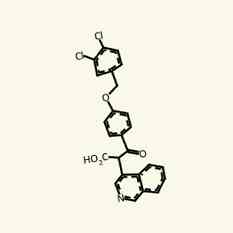 O=C(O)C(C(=O)c1ccc(OCc2ccc(Cl)c(Cl)c2)cc1)c1cncc2ccccc12